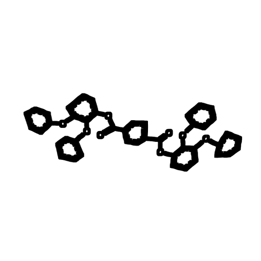 O=C(Oc1cccc(Oc2ccccc2)c1Oc1ccccc1)c1ccc(C(=O)Oc2cccc(Oc3ccccc3)c2Oc2ccccc2)cc1